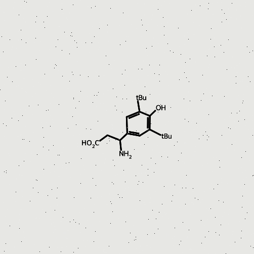 CC(C)(C)c1cc(C(N)CC(=O)O)cc(C(C)(C)C)c1O